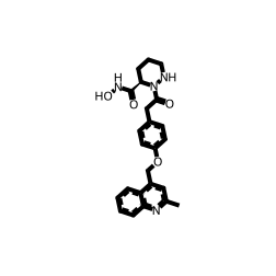 Cc1cc(COc2ccc(CC(=O)N3NCCC[C@@H]3C(=O)NO)cc2)c2ccccc2n1